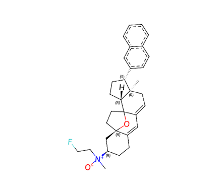 C[C@]12CC=C3C=C4CC[C@@H]([N+](C)([O-])CCF)C[C@]45CCC3(O5)[C@@H]1CC[C@@H]2c1ccc2ccccc2c1